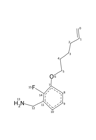 C=CCCCCOc1cccc(CN)c1F